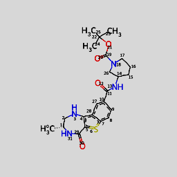 C[C@@H]1CNc2c(sc3ccc(C(=O)NC4CCCN(C(=O)OC(C)(C)C)C4)cc23)C(=O)N1